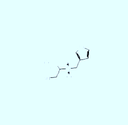 CC(C)(C)CC(C(=O)O)S(=O)(=O)Cc1ccoc1